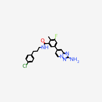 Cc1c(F)cc(-c2ccn3nc(N)nc3c2)cc1C(=O)NCCCc1ccc(Cl)cc1